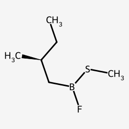 CC[C@H](C)CB(F)SC